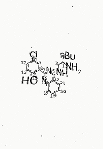 CCCC[C@H](N)CNc1nc(-c2cc(Cl)ccc2O)nc2ccccc12